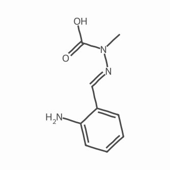 CN(N=Cc1ccccc1N)C(=O)O